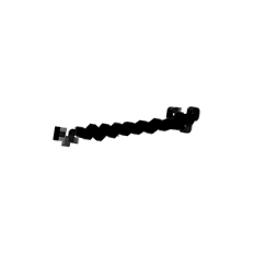 CCCCCC[CH]CC=CCCCCCCCC1(Cl)OC1=O